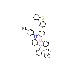 CCc1ccc(N2c3cc(-c4ccc5sc6ccccc6c5c4)ccc3B3c4cccc5c4N(c4ccccc4C54C5CC6CC(C5)CC4C6)c4cccc2c43)cc1